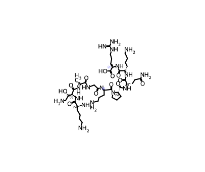 C[C@H](NC(=O)[C@@H](NC(=O)[C@@H](N)CCCCN)[C@@H](O)CN)C(=O)NCC(=O)/N=C(\CCCN)C(=O)N1CCC[C@H]1C(=O)N[C@@H](CCC(N)=O)C(=O)N[C@@H](CCCCN)C(=O)N/C(=C\CCNC(=N)N)C(=O)O